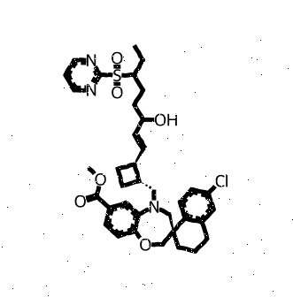 CCC(CCC(O)/C=C/[C@@H]1CC[C@H]1CN1C[C@@]2(CCCc3cc(Cl)ccc32)COc2ccc(C(=O)OC)cc21)S(=O)(=O)c1ncccn1